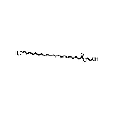 CCCCCCCCCCCCCCCCCCCCCC(=O)OCCO